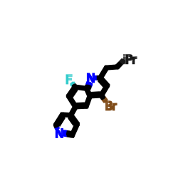 CC(C)CCc1cc(Br)c2cc(-c3ccncc3)cc(F)c2n1